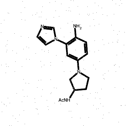 CC(=O)NC1CCN(c2ccc(N)c(-n3ccnc3)c2)C1